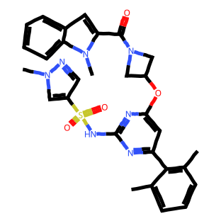 Cc1cccc(C)c1-c1cc(OC2CN(C(=O)c3cc4ccccc4n3C)C2)nc(NS(=O)(=O)c2cnn(C)c2)n1